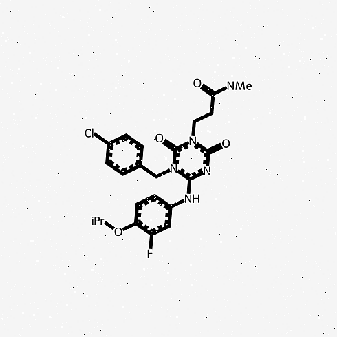 CNC(=O)CCn1c(=O)nc(Nc2ccc(OC(C)C)c(F)c2)n(Cc2ccc(Cl)cc2)c1=O